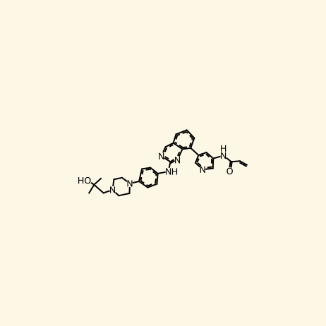 C=CC(=O)Nc1cncc(-c2cccc3cnc(Nc4ccc(N5CCN(CC(C)(C)O)CC5)cc4)nc23)c1